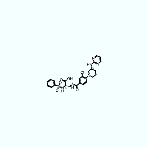 O=C(NC[C@H](NS(=O)(=O)c1ccccc1)C(=O)O)c1ccc(N2CCC[C@H](Nc3ncccn3)C2)c(Cl)c1